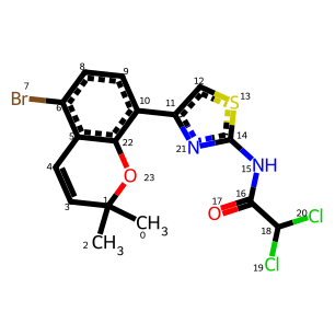 CC1(C)C=Cc2c(Br)ccc(-c3csc(NC(=O)C(Cl)Cl)n3)c2O1